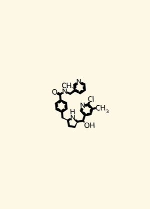 Cc1cc([C@@H](O)[C@H]2CC[C@@H](Cc3ccc(C(=O)N(C)Cc4cccnc4)cc3)N2)cnc1Cl